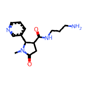 CN1C(=O)CC(C(=O)NCCCN)C1c1cccnc1